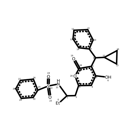 CCC(Cc1cc(O)c(C(c2ccccc2)C2CC2)c(=O)o1)NS(=O)(=O)c1ccccc1